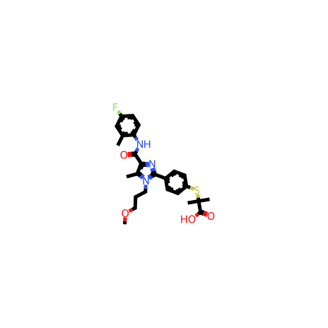 COCCCn1c(-c2ccc(SC(C)(C)C(=O)O)cc2)nc(C(=O)Nc2ccc(F)cc2C)c1C